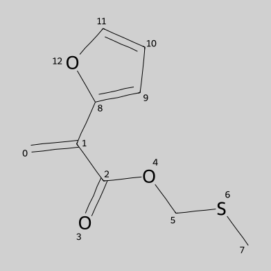 C=C(C(=O)OCSC)c1ccco1